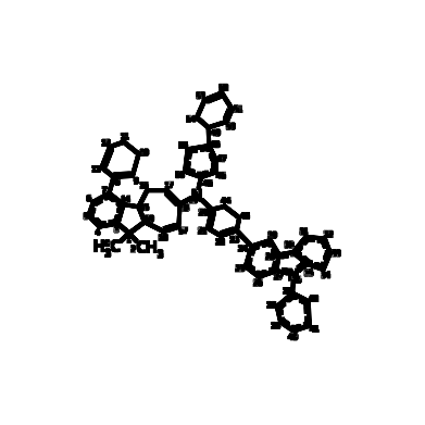 CC1(C)c2cccc(C3=CCCC=C3)c2C2CC=C(N(C3=CC=C(c4ccc5c(c4)c4ccccc4n5-c4ccccc4)CC3)c3ccc(C4C=CC=CC4)cc3)C=CC21